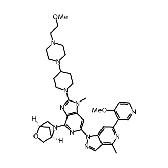 COCCN1CCN(C2CCN(c3nc4c(N5C[C@H]6C[C@@H]5CO6)nc(-n5ncc6c(C)nc(-c7cnccc7OC)cc65)cc4n3C)CC2)CC1